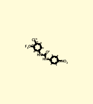 O=C(Nc1ccc([N+](=O)[O-])cc1)Nc1ccc(Cl)c(C(F)(F)F)c1